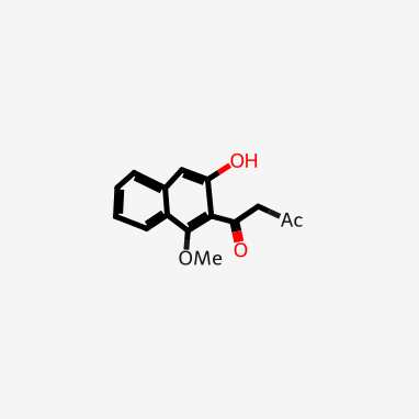 COc1c(C(=O)CC(C)=O)c(O)cc2ccccc12